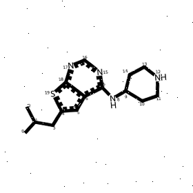 CC(C)Cc1cc2c(NC3CCNCC3)ncnc2s1